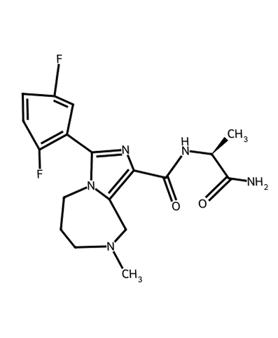 C[C@H](NC(=O)c1nc(-c2cc(F)ccc2F)n2c1CN(C)CCC2)C(N)=O